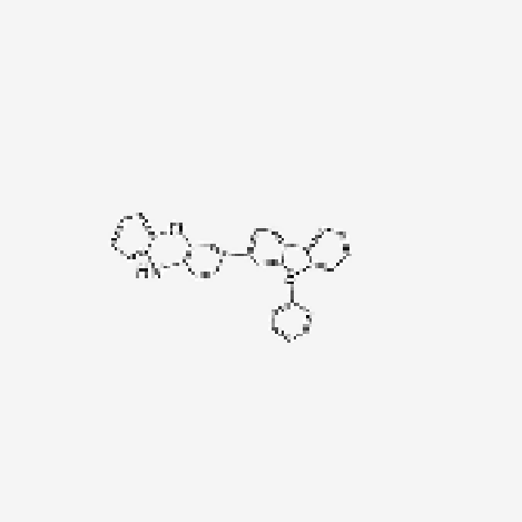 c1ccc(B2c3ccccc3-c3ccc(-c4ccc5c(c4)Oc4ccccc4N5)cc32)cc1